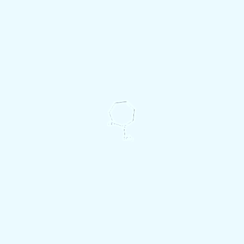 O=[N+]([O-])N1CCCCCN1